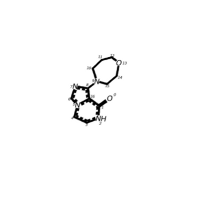 O=c1[nH]ccn2cnc(N3CCCOCC3)c12